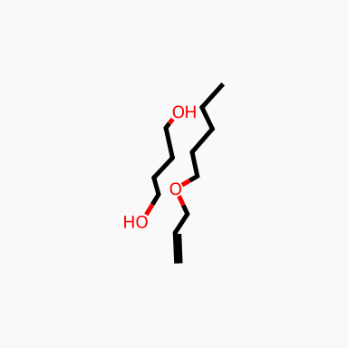 C=CCOCCCCC.OCCCCO